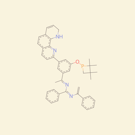 C=C(/N=C(\N=C(/C)c1cc(OP2CC(C)(C)C2(C)C)cc(-c2ccc3ccc4c(c3n2)NCC=C4)c1)c1ccccc1)c1ccccc1